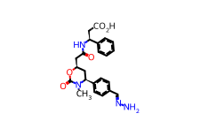 CN1C(=O)O[C@@H](CC(=O)N[C@@H](CC(=O)O)c2ccccc2)C[C@H]1c1ccc(C=NN)cc1